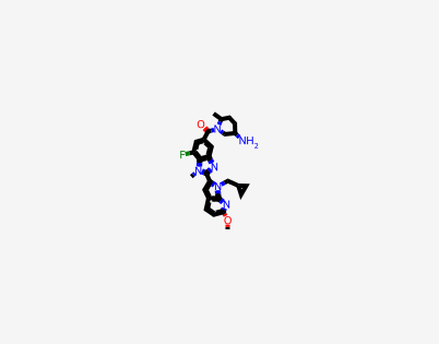 COc1ccc2cc(-c3nc4cc(C(=O)N5CC(N)CCC5C)cc(F)c4n3C)n(CC3CC3)c2n1